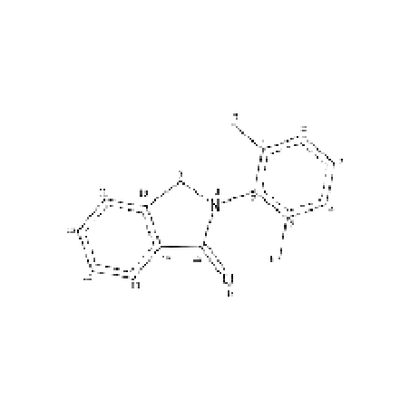 Cc1cccc(C)c1N1Cc2ccccc2C1=O